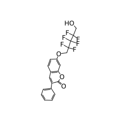 O=c1oc2cc(OCC(F)(F)C(F)(F)C(F)(F)CO)ccc2cc1-c1ccccc1